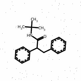 CC(C)(C)NC(=O)C(Cc1ccccc1)c1ccccc1